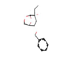 CC[C@]1(O)C[C@H](OCc2ccccc2)[C@H]2CO[C@@H]1O2